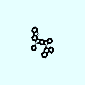 c1ccc(-n2c3cc4c(cc3c3c5oc6ccccc6c5ccc32)c2ccccc2n4-c2cc3ccccc3c3ccccc23)cc1